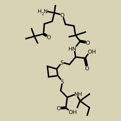 CCC(C)(C)NC(CSC1CCC1SCC(NC(=O)C(C)(C)CCOC(C)(N)CCC(=O)C(C)(C)C)C(=O)O)C(=O)O